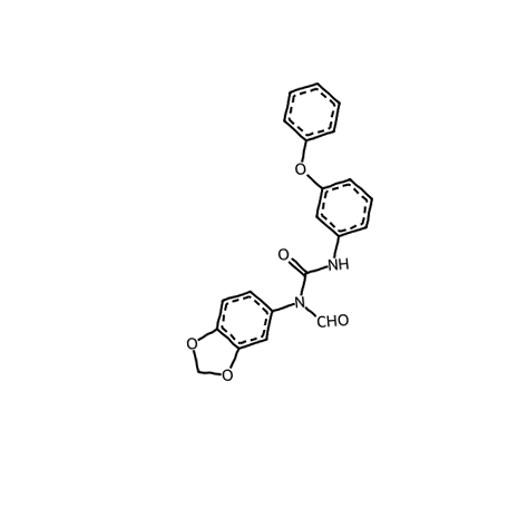 O=CN(C(=O)Nc1cccc(Oc2ccccc2)c1)c1ccc2c(c1)OCO2